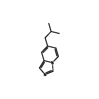 CC(C)Cc1ccn2cncc2c1